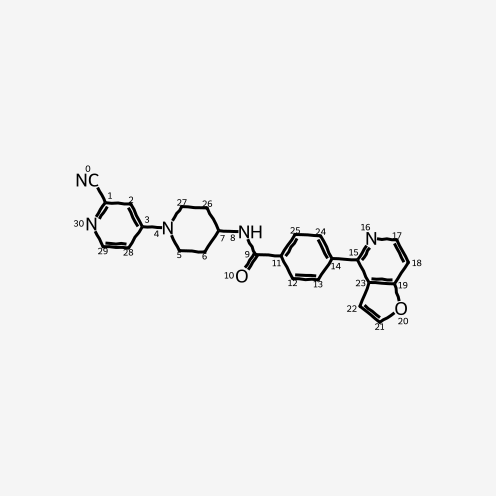 N#Cc1cc(N2CCC(NC(=O)c3ccc(-c4nccc5occc45)cc3)CC2)ccn1